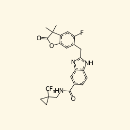 CC1(C)C(=O)Oc2cc(Cc3nc4cc(C(=O)NCC5(C(F)(F)F)CC5)ccc4[nH]3)c(F)cc21